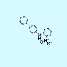 O=[N+]([O-])c1ccccc1Nc1ccc(-c2ccccc2)cc1